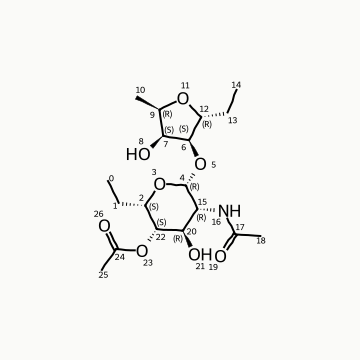 CC[C@@H]1O[C@H](O[C@H]2[C@@H](O)[C@@H](C)O[C@@H]2CC)[C@H](NC(C)=O)[C@@H](O)[C@@H]1OC(C)=O